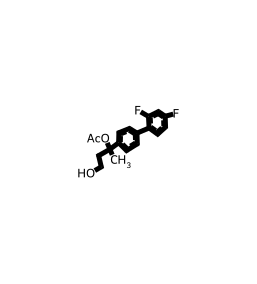 CC(=O)OC(C)(CCO)c1ccc(-c2ccc(F)cc2F)cc1